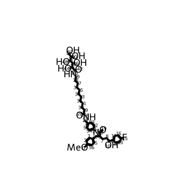 COc1ccc(C2C(CCC(O)c3ccc(F)cc3)C(=O)N2c2ccc(CNC(=O)CCCCCCCCCCCNC(=O)C(O)C(O)C(O)C(O)CO)cc2)cc1